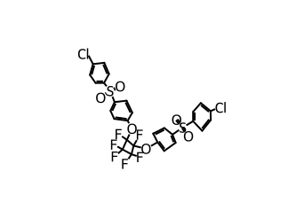 O=S(=O)(c1ccc(Cl)cc1)c1ccc(OC2(F)C(F)(F)C(F)(F)C2(F)Oc2ccc(S(=O)(=O)c3ccc(Cl)cc3)cc2)cc1